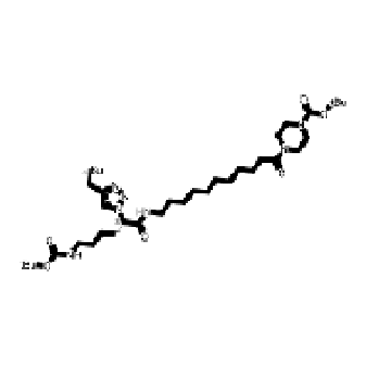 CC[C@H](C)Cc1cn([C@@H](CCCCNC(=O)OC(C)(C)C)C(=O)NCCCCCCCCCCC(=O)N2CCN(C(=O)OC(C)(C)C)CC2)nn1